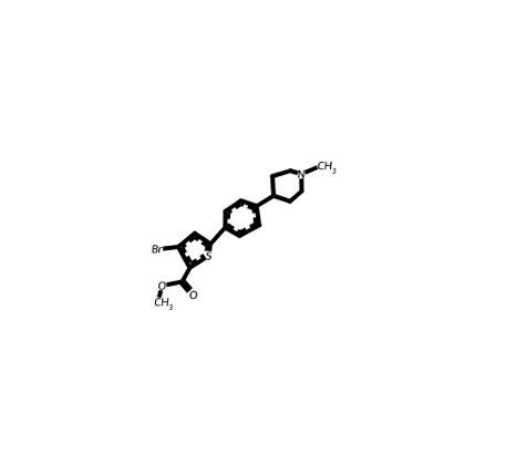 COC(=O)c1sc(-c2ccc(C3CCN(C)CC3)cc2)cc1Br